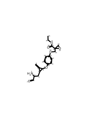 C=C1C(CC(N)C=O)C1Oc1ccc(OCC2(C(=O)OCC)CO2)cc1